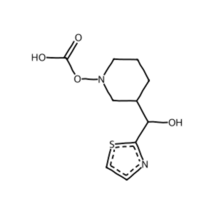 O=C(O)ON1CCCC(C(O)c2nccs2)C1